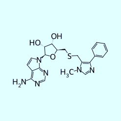 Cn1cnc(-c2ccccc2)c1CSC[C@H]1O[C@@H](n2ccc3c(N)ncnc32)[C@H](O)[C@@H]1O